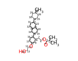 C=C(C)C(=O)OCCc1cc(OCCO)ccc1-c1ccc2cc(C3CCC(C)CC3)ccc2c1